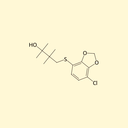 CC(C)(O)C(C)(C)CSc1ccc(Cl)c2c1OCO2